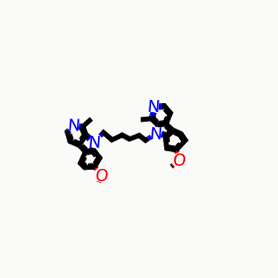 COc1ccc2c3ccnc(C)c3n(CCCCCCn3c4cc(OC)ccc4c4ccnc(C)c43)c2c1